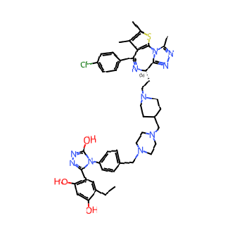 CCc1cc(-c2nnc(O)n2-c2ccc(CN3CCN(CC4CCN(CC[C@@H]5N=C(c6ccc(Cl)cc6)c6c(sc(C)c6C)-n6c(C)nnc65)CC4)CC3)cc2)c(O)cc1O